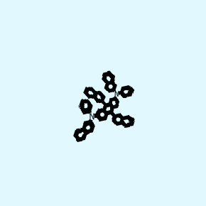 c1ccc(N(c2ccc3ccccc3c2)c2ccc3c(-c4ccc5ccccc5c4)c4ccc(N(c5ccccc5)c5ccc6ccccc6c5)cc4c(-c4ccc5ccccc5c4)c3c2)cc1